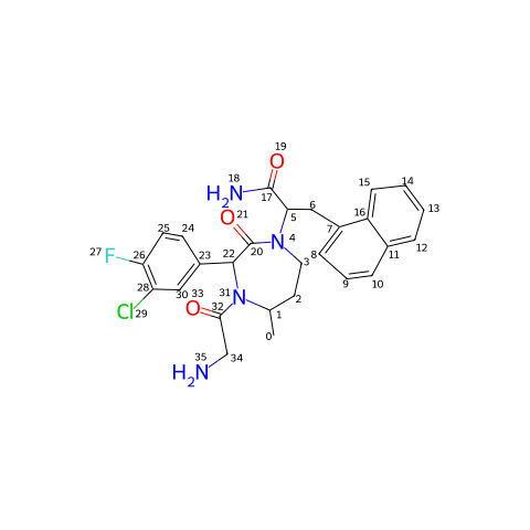 CC1CCN(C(Cc2cccc3ccccc23)C(N)=O)C(=O)C(c2ccc(F)c(Cl)c2)N1C(=O)CN